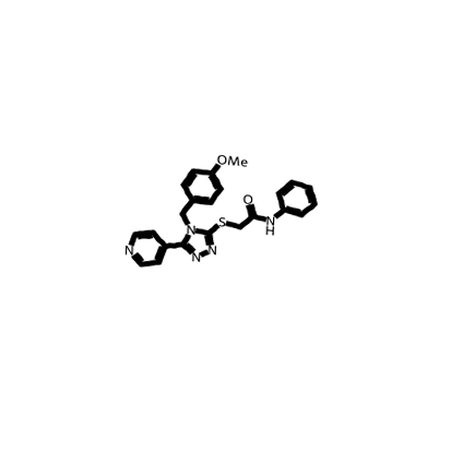 COc1ccc(Cn2c(SCC(=O)Nc3ccccc3)nnc2-c2ccncc2)cc1